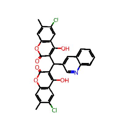 Cc1cc2oc(=O)c(C(c3cnc4ccccc4c3)c3c(O)c4cc(Cl)c(C)cc4oc3=O)c(O)c2cc1Cl